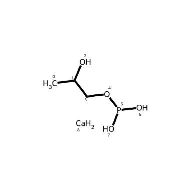 CC(O)COP(O)O.[CaH2]